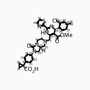 COC(=O)C1=C(CN2CCN3C(=O)N(c4ccc(C5(C(=O)O)CC5)cc4)C[C@@H]3C2)NC(c2nccs2)=N[C@H]1c1ccc(F)cc1Cl